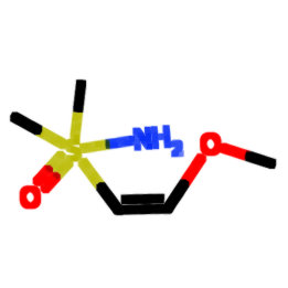 CO/C=C\S(C)(C)(N)=O